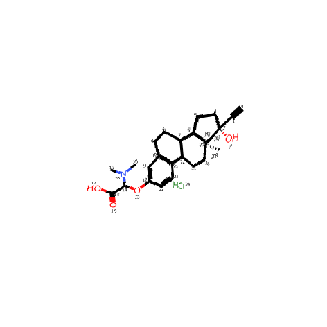 C#C[C@]1(O)CCC2C3CCc4cc(OC(C(=O)O)N(C)C)ccc4C3CC[C@@]21C.Cl